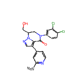 CNc1cc(-c2cnn3c2C(=O)N(c2ccc(Cl)c(Cl)c2)CC3CO)ccn1